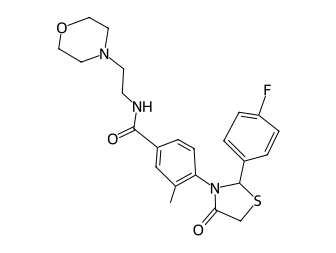 Cc1cc(C(=O)NCCN2CCOCC2)ccc1N1C(=O)CSC1c1ccc(F)cc1